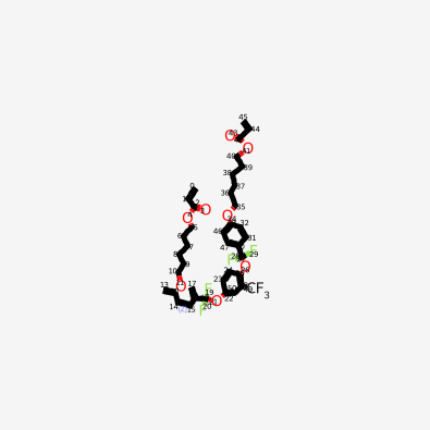 C=CC(=O)OCCCCCCOC(=C)/C=C\C(=C)C(F)(F)Oc1ccc(OC(F)(F)c2ccc(OCCCCCCOC(=O)C=C)cc2)c(C(F)(F)F)c1